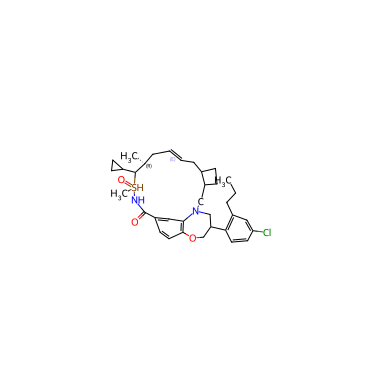 CCCc1cc(Cl)ccc1C1COc2ccc3cc2N(C1)CC1CCC1C/C=C/C[C@@H](C)C(C1CC1)[SH](C)(=O)NC3=O